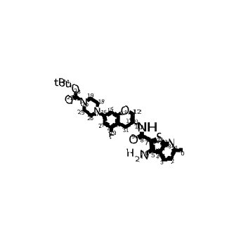 Cc1ccc2c(N)c(C(=O)N[C@H]3COc4cc(N5CCN(C(=O)OC(C)(C)C)CC5)cc(F)c4C3)sc2n1